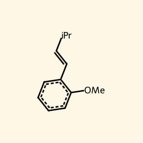 COc1ccccc1/C=C/C(C)C